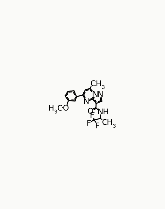 COc1cccc(-c2cc(C)n3ncc(C(=O)N[C@@H](C)C(F)(F)F)c3n2)c1